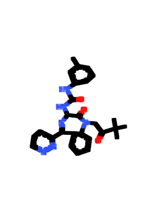 Cc1cccc(NC(=O)NC2N=C(c3cccnn3)c3ccccc3N(CC(=O)C(C)(C)C)C2=O)c1